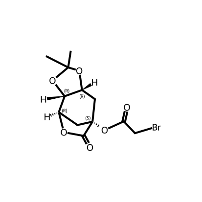 CC1(C)O[C@H]2[C@H]3C[C@@](OC(=O)CBr)(C[C@H]2O1)C(=O)O3